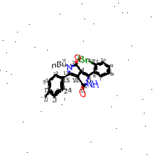 CCCCN1C(=O)C2=C(c3ccccc3Br)NC(=O)C2=C1c1ccc(C)cc1